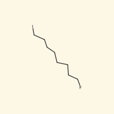 FCCCCCCCCI